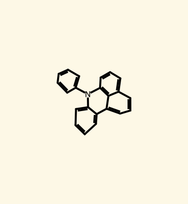 c1ccc(N2c3ccccc3-c3cccc4cccc2c34)cc1